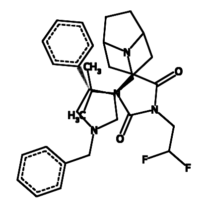 CC(C)N1C(=O)N(CC(F)F)C(=O)C12CC1CCC(C2)N1C[C@H]1CN(Cc2ccccc2)C[C@@H]1c1ccccc1